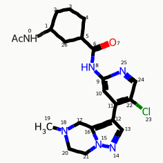 CC(=O)NC1CCCC(C(=O)Nc2cc(-c3cnn4c3CN(C)CC4)c(Cl)cn2)C1